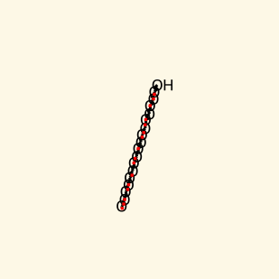 COCCOCCOCCOCCOCCOCCOCCOCCOCCOCCOCCOCCOCCOCCOCCOCCOCCO